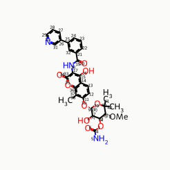 CO[C@@H]1[C@@H](OC(N)=O)[C@@H](O)[C@H](Oc2ccc3c(O)c(NC(=O)c4cccc(-c5cccnc5)c4)c(=O)oc3c2C)OC1(C)C